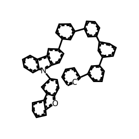 c1ccc(-c2cccc(-c3cccc(-c4cccc(-c5cccc(-c6ccc7c(c6)c6ccccc6n7-c6ccc7oc8ccccc8c7c6)c5)c4)c3)c2)cc1